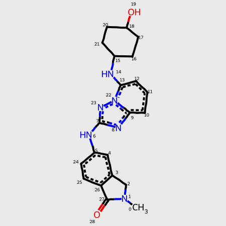 CN1Cc2cc(Nc3nc4cccc(NC5CCC(O)CC5)n4n3)ccc2C1=O